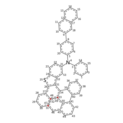 c1ccc(N(c2ccc(-c3ccc4ccccc4c3)cc2)c2ccc3sc4c5ccccc5cc(-c5ccccc5-c5cccc6ccccc56)c4c3c2)cc1